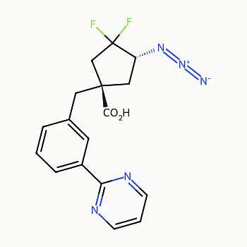 [N-]=[N+]=N[C@@H]1C[C@@](Cc2cccc(-c3ncccn3)c2)(C(=O)O)CC1(F)F